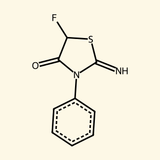 N=C1SC(F)C(=O)N1c1ccccc1